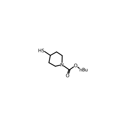 CCCCOC(=O)N1CCC(S)CC1